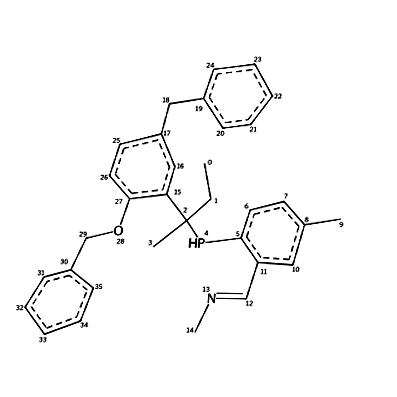 CCC(C)(Pc1ccc(C)cc1/C=N/C)c1cc(Cc2ccccc2)ccc1OCc1ccccc1